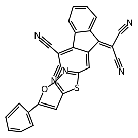 N#CC(C#N)=C1C(=Cc2nc3oc(-c4ccccc4)cc3s2)C(=C(C#N)C#N)c2ccccc21